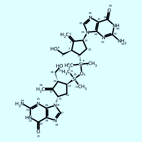 C=C1[C@H](CO)[C@@H]([Si](C)(C)O[Si](C)(C)[C@H]2C[C@H](n3cnc4c(=O)[nH]c(N)nc43)C(=C)[C@@H]2CO)C[C@@H]1n1cnc2c(=O)[nH]c(N)nc21